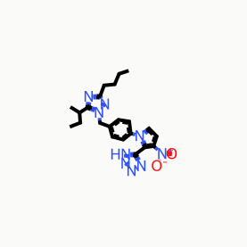 CCCCc1nc(C(C)CC)n(Cc2ccc(-n3ccc([N+](=O)[O-])c3-c3nnn[nH]3)cc2)n1